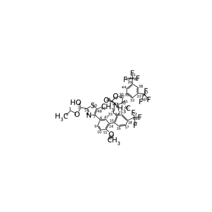 CCOC(O)c1nc(-c2ccc(OC)c(-c3ccc(C(F)(F)F)cc3CN3C(=O)O[C@H](c4cc(C(F)(F)F)cc(C(F)(F)F)c4)[C@@H]3C)c2)c(C)s1